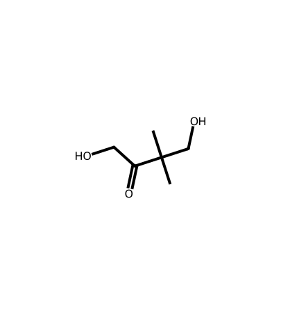 CC(C)(CO)C(=O)CO